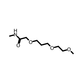 CNC(=O)COCCCOCCOC